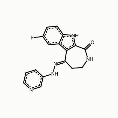 O=C1NCCC(=NNc2cccnc2)c2c1[nH]c1ccc(F)cc21